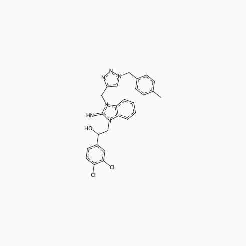 Cc1ccc(Cn2cc(Cn3c(=N)n(CC(O)c4ccc(Cl)c(Cl)c4)c4ccccc43)nn2)cc1